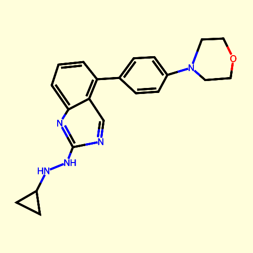 c1cc(-c2ccc(N3CCOCC3)cc2)c2cnc(NNC3CC3)nc2c1